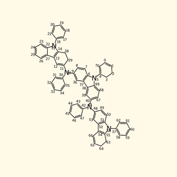 C1=CCCC(n2c3ccc(N(C4=Cc5c(n(-c6ccccc6)c6ccccc56)CC4)c4ccccc4)cc3c3cc(N(c4ccccc4)c4ccc5c(c4)c4c(n5-c5ccccc5)CCC=C4)ccc32)=C1